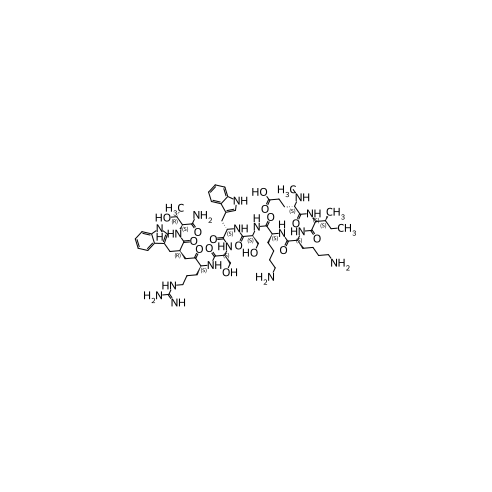 CC[C@H](C)[C@H](NC(=O)[C@H](CCC(=O)O)NC)C(=O)N[C@@H](CCCCN)C(=O)N[C@@H](CCCCN)C(=O)N[C@@H](CO)C(=O)N[C@@H](Cc1c[nH]c2ccccc12)C(=O)N[C@@H](CO)C(=O)N[C@@H](CCCNC(=N)N)C(=O)C[C@@H](Cc1c[nH]c2ccccc12)C(=O)N[C@H](C(N)=O)[C@@H](C)O